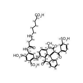 Cn1c(=O)c(C(=O)c2cccc(S(=O)(=O)O)c2)c2c3c(c(Nc4cc(NC(=O)CCNCCCCCC(=O)O)c(S(=O)(=O)O)cc4S(=O)(=O)O)ccc31)C(=O)c1ccccc1-2